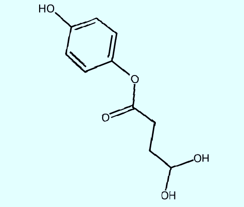 O=C(CCC(O)O)Oc1ccc(O)cc1